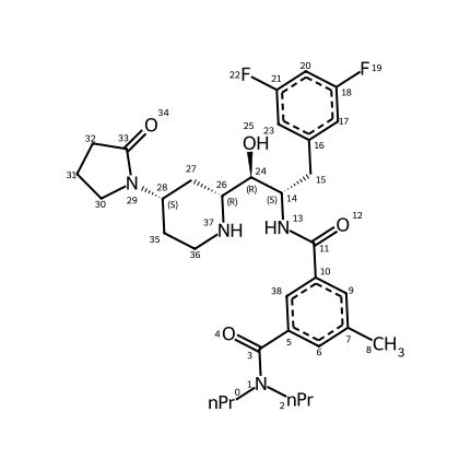 CCCN(CCC)C(=O)c1cc(C)cc(C(=O)N[C@@H](Cc2cc(F)cc(F)c2)[C@H](O)[C@H]2C[C@@H](N3CCCC3=O)CCN2)c1